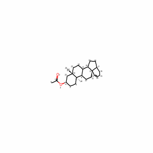 CC(=O)O[C@@H]1CC[C@]2(C)C3CC[C@]45C=CCCC4CCC5C3CC[C@H]2C1